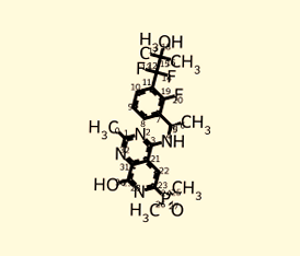 Cc1nc(N[C@H](C)c2cccc(C(F)(F)C(C)(C)O)c2F)c2cc(P(C)(C)=O)nc(O)c2n1